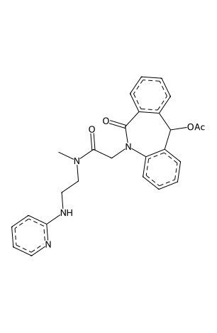 CC(=O)OC1c2ccccc2C(=O)N(CC(=O)N(C)CCNc2ccccn2)c2ccccc21